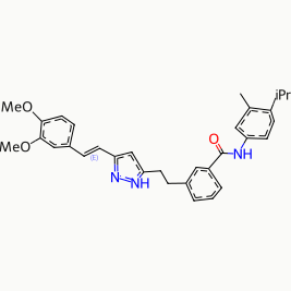 COc1ccc(/C=C/c2cc(CCc3cccc(C(=O)Nc4ccc(C(C)C)c(C)c4)c3)[nH]n2)cc1OC